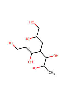 CC(O)C(O)C(CC(O)CO)C(O)CCO